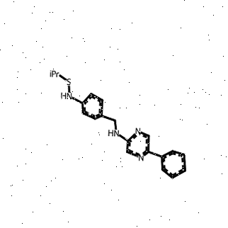 CC(C)SNc1ccc(CNc2cnc(-c3ccccc3)cn2)cc1